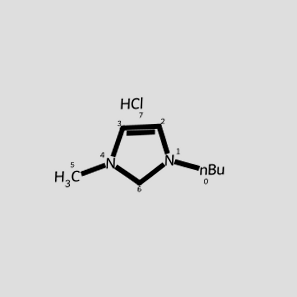 CCCCN1C=CN(C)C1.Cl